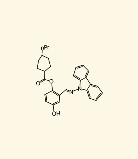 CCCC1CCC(C(=O)Oc2ccc(O)cc2/C=N/n2c3ccccc3c3ccccc32)CC1